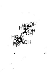 OCC(O)C(O)C(O)C(O)COC[C@H]1OC(CO)[C@@H](O)C(O)C1O